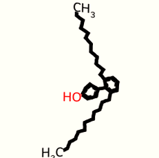 CCCCCCCCCCCCc1cccc(CCCCCCCCCCCC)c1-c1ccc(O)cc1